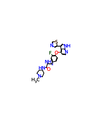 CN1CCC(NC(=O)C(N)Cc2ccc(Oc3ccnc4[nH]cc(-c5cncs5)c34)c(F)c2)CC1